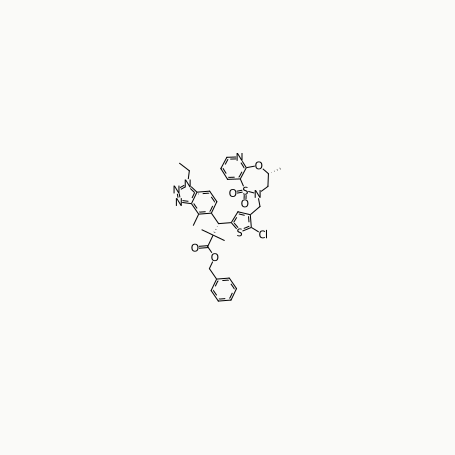 CCn1nnc2c(C)c([C@H](c3cc(CN4C[C@@H](C)Oc5ncccc5S4(=O)=O)c(Cl)s3)C(C)(C)C(=O)OCc3ccccc3)ccc21